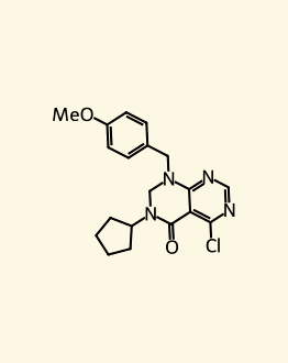 COc1ccc(CN2CN(C3CCCC3)C(=O)c3c(Cl)ncnc32)cc1